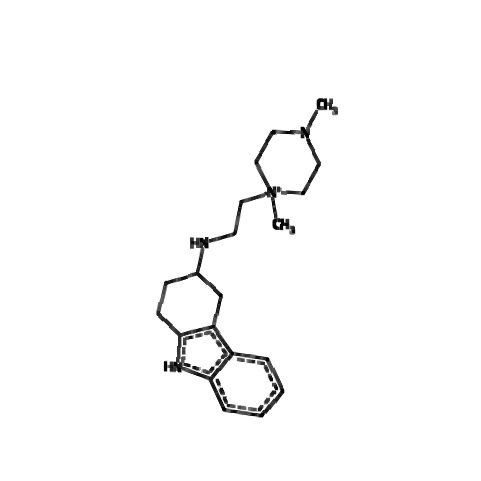 CN1CC[N+](C)(CCNC2CCc3[nH]c4ccccc4c3C2)CC1